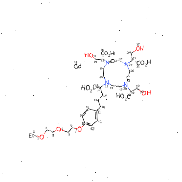 CCOCCOCCOc1ccc(CCC[C@@H](C(=O)O)N2CCN([C@H](CO)C(=O)O)CCN([C@H](CO)C(=O)O)CCN([C@H](CO)C(=O)O)CC2)cc1.[Gd]